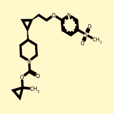 CC1(OC(=O)N2CCC([C@H]3C[C@H]3CCOc3ccc(S(C)(=O)=O)cn3)CC2)CC1